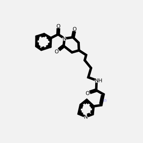 O=C(/C=C\c1cccnc1)NCCCCC1CC(=O)N(C(=O)c2ccccc2)C(=O)C1